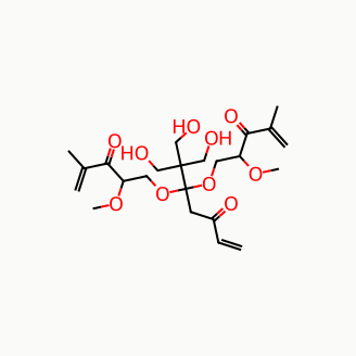 C=CC(=O)CC(OCC(OC)C(=O)C(=C)C)(OCC(OC)C(=O)C(=C)C)C(CO)(CO)CO